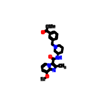 CCOc1cccn2c(C(=O)N[C@H]3CCCN(Cc4cccc(C(=O)OC)c4)C3)c(C)nc12